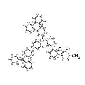 C=C/C=C\c1c(C)oc2c(-c3cccc(N(c4ccc(-c5ccc6c(c5)c5ccccc5n6-c5ccccc5)cc4)c4ccc5c6ccccc6c6ccccc6c5c4)c3)cccc12